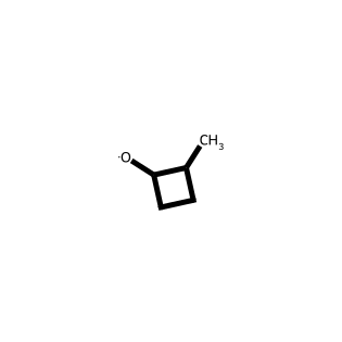 CC1CCC1[O]